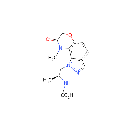 C[C@@H](Cn1ncc2ccc3c(c21)N(C)C(=O)CO3)NC(=O)O